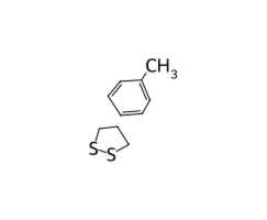 C1CSSC1.Cc1ccccc1